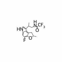 CC1Cc2c(c(F)cc3[nH]cc(C(C)CNC(=O)C(F)(F)F)c23)O1